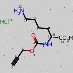 C#CCOC(=O)N[C@@H](CCCCN)C(=O)O.Cl